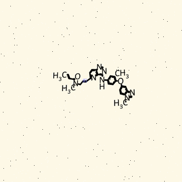 CC=CC(=O)N(C)C/C=C/c1ccc2ncnc(Nc3ccc(Oc4ccc5c(c4)ncn5C)c(C)c3)c2n1